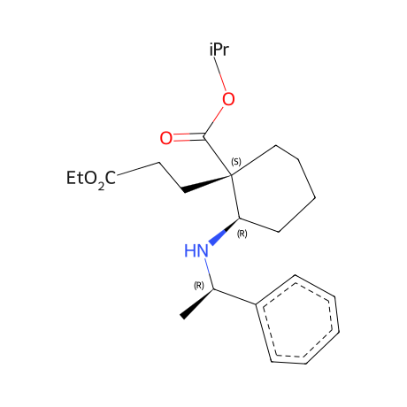 CCOC(=O)CC[C@@]1(C(=O)OC(C)C)CCCC[C@H]1N[C@H](C)c1ccccc1